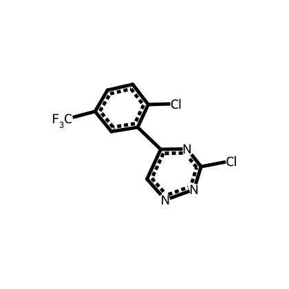 FC(F)(F)c1ccc(Cl)c(-c2cnnc(Cl)n2)c1